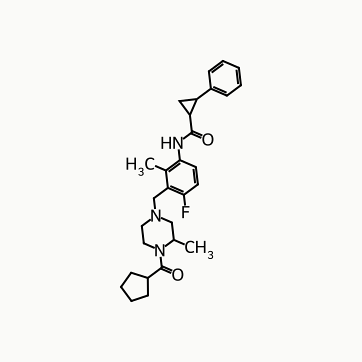 Cc1c(NC(=O)C2CC2c2ccccc2)ccc(F)c1CN1CCN(C(=O)C2CCCC2)C(C)C1